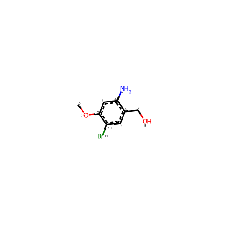 COc1cc(N)c(CO)cc1Br